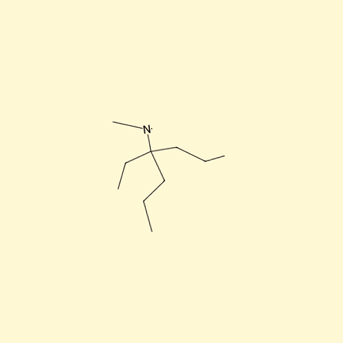 CCCC(CC)(CCC)[N]C